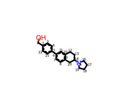 OCc1ccc(-c2ccc3c(c2)CCC(N2CCCC2)C3)cc1